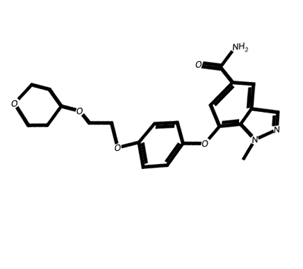 Cn1ncc2cc(C(N)=O)cc(Oc3ccc(OCCOC4CCOCC4)cc3)c21